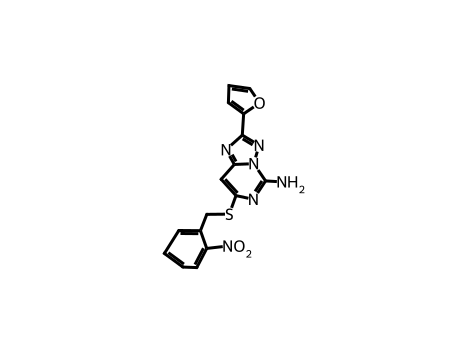 Nc1nc(SCc2ccccc2[N+](=O)[O-])cc2nc(-c3ccco3)nn12